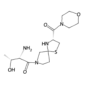 C[C@@H](O)[C@H](N)C(=O)N1CCC2(C1)N[C@H](C(=O)N1CCOCC1)CS2